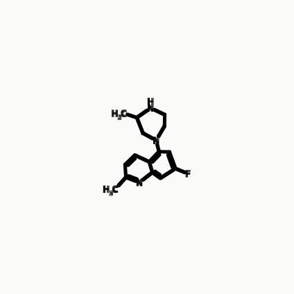 Cc1ccc2c(N3CCNC(C)C3)cc(F)cc2n1